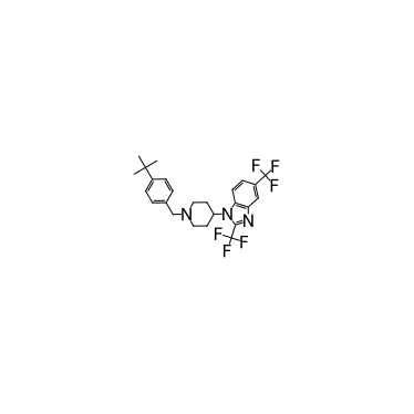 CC(C)(C)c1ccc(CN2CCC(n3c(C(F)(F)F)nc4cc(C(F)(F)F)ccc43)CC2)cc1